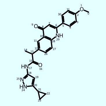 COc1ccc(-c2cc(=O)c3cc(C(C)C(=O)Nc4cc(C5CC5)[nH]n4)ccc3[nH]2)cc1